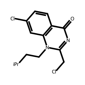 CC(C)CCn1c(CCl)nc(=O)c2ccc(Cl)cc21